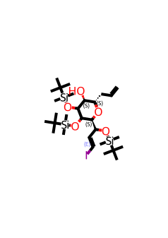 C=CC[C@@H]1O[C@@H](C(/C=C/I)O[Si](C)(C)C(C)(C)C)C(O[Si](C)(C)C(C)(C)C)C(O[Si](C)(C)C(C)(C)C)[C@H]1O